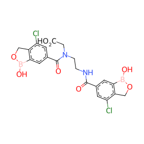 O=C(O)CN(CCNC(=O)c1cc(Cl)c2c(c1)B(O)OC2)C(=O)c1cc(Cl)c2c(c1)B(O)OC2